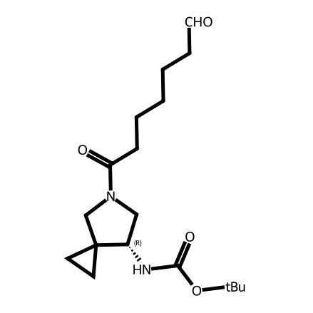 CC(C)(C)OC(=O)N[C@H]1CN(C(=O)CCCCCC=O)CC12CC2